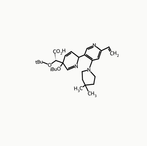 C=Cc1cc(N2CCC(C)(C)CC2)c(C2C=CC(OCC(C)C)([C@H](OC(C)(C)C)C(=O)O)C=N2)cn1